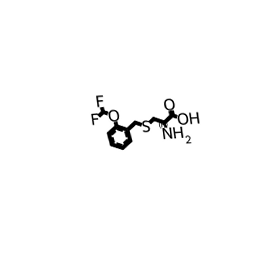 N[C@@H](CSCc1ccccc1OC(F)F)C(=O)O